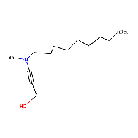 CCCCCCCCCCCCCCCCCCN(C#CCO)C(C)C